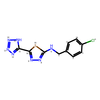 Clc1ccc(CNc2nnc(-c3nnn[nH]3)s2)cc1